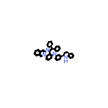 C1=CC2C3=C(c4ccccc4N(c4cccc(C5C=Cc6ccccc6N5)c4)c4ccccc43)N(c3cc4ccccc4cn3)C2C=C1